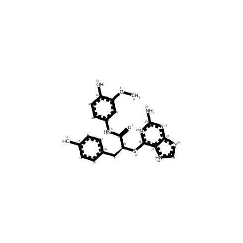 COc1cc(NC(=O)[C@H](Cc2ccc(O)cc2)Sc2nc(N)nc3nc[nH]c23)ccc1O